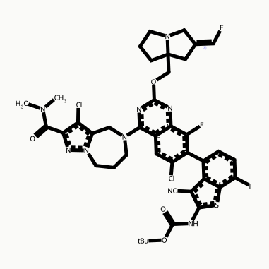 CN(C)C(=O)c1nn2c(c1Cl)CN(c1nc(OCC34CCCN3C/C(=C\F)C4)nc3c(F)c(-c4ccc(F)c5sc(NC(=O)OC(C)(C)C)c(C#N)c45)c(Cl)cc13)CCC2